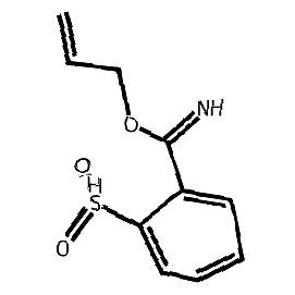 C=CCOC(=N)c1ccccc1[SH](=O)=O